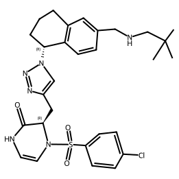 CC(C)(C)CNCc1ccc2c(c1)CCC[C@H]2n1cc(C[C@@H]2C(=O)NC=CN2S(=O)(=O)c2ccc(Cl)cc2)nn1